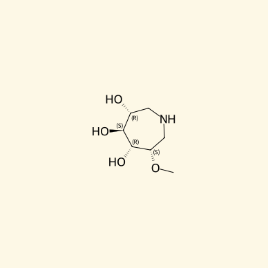 CO[C@H]1CNC[C@@H](O)[C@H](O)[C@H]1O